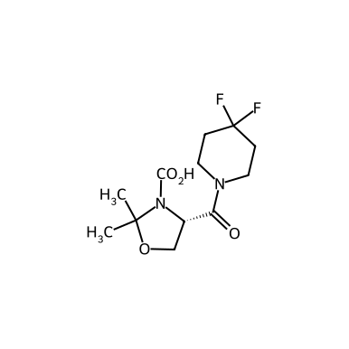 CC1(C)OC[C@@H](C(=O)N2CCC(F)(F)CC2)N1C(=O)O